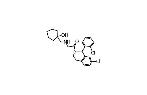 O=C(CNCC1(O)CCCCC1)N1CCc2ccc(Cl)cc2C1c1ccccc1Cl